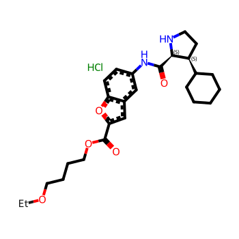 CCOCCCCOC(=O)c1cc2cc(NC(=O)[C@H]3NCC[C@H]3C3CCCCC3)ccc2o1.Cl